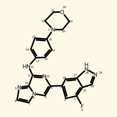 Fc1cc(-c2cn3ccnc3c(Nc3ccc(N4CCOCC4)cc3)n2)cc2[nH]ncc12